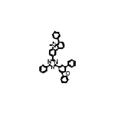 C[Si]1(C)c2ccc(-c3nc(-c4ccccc4)nc(-c4cc(-c5ccccc5)c5oc6ccccc6c5c4)n3)cc2-c2cccc(-c3ccccc3)c21